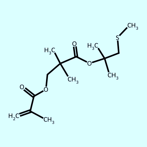 C=C(C)C(=O)OCC(C)(C)C(=O)OC(C)(C)CSC